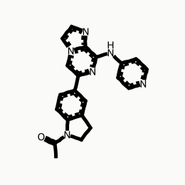 CC(=O)N1CCc2cc(-c3cn4ccnc4c(Nc4ccncc4)n3)ccc21